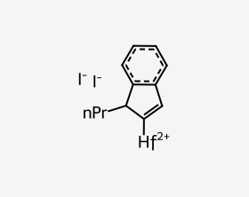 CCCC1[C]([Hf+2])=Cc2ccccc21.[I-].[I-]